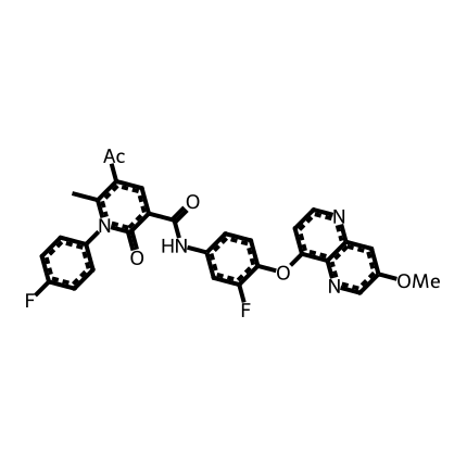 COc1cnc2c(Oc3ccc(NC(=O)c4cc(C(C)=O)c(C)n(-c5ccc(F)cc5)c4=O)cc3F)ccnc2c1